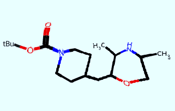 CC1COC(CC2CCN(C(=O)OC(C)(C)C)CC2)C(C)N1